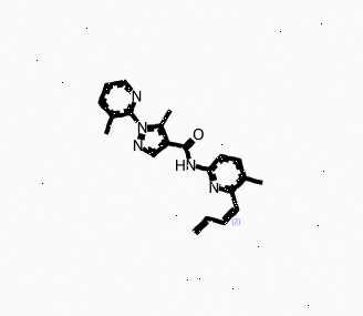 C=C/C=C\c1nc(NC(=O)c2cnn(-c3ncccc3C)c2C)ccc1C